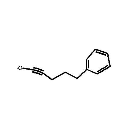 [O]C#CCCCc1ccccc1